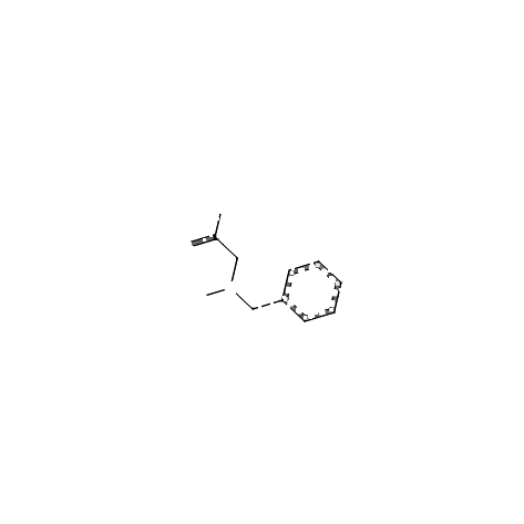 CC(=O)OC(=O)CN(C)Cc1ccccc1